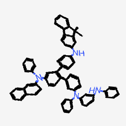 CC1(C)c2ccccc2-c2ccc(Nc3ccc(-c4cc(N(c5ccccc5)c5ccc6ccccc6c5)ccc4-c4cccc(N(c5ccccc5)c5cccc(Nc6ccccc6)c5)c4)cc3)cc21